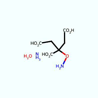 N.NOC(CC(=O)O)(CC(=O)O)C(=O)O.O